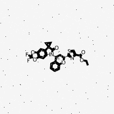 CCOC(=O)c1csc([C@H]2C[C@@H](NC(=O)C3(c4ccc5c(c4)OC(F)(F)O5)CC3)c3ccccc3O2)n1